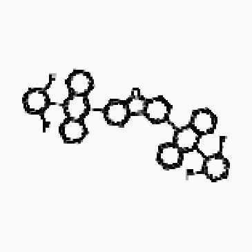 Fc1cccc(F)c1-c1c2ccccc2c(-c2ccc3c(c2)oc2ccc(-c4c5ccccc5c(-c5c(F)cccc5F)c5ccccc45)cc23)c2ccccc12